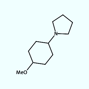 COC1CCC(N2CCCC2)CC1